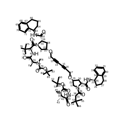 C[C@@H](C(=O)N[C@H](C(=O)N1C[C@@H](OCC#CC#CCO[C@H]2C[C@@H](C(=O)N[C@@H]3CCCc4ccccc43)N(C(=O)[C@@H](NC(=O)[C@H](C)N(C)C(=O)OC(C)(C)C)C(C)(C)C)C2)C[C@H]1C(=O)N[C@@H]1CCCc2ccccc21)C(C)(C)C)N(C)C(=O)OC(C)(C)C